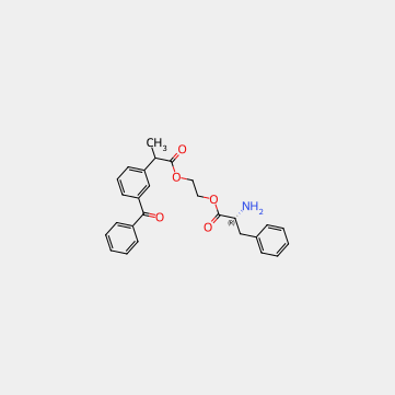 CC(C(=O)OCCOC(=O)[C@H](N)Cc1ccccc1)c1cccc(C(=O)c2ccccc2)c1